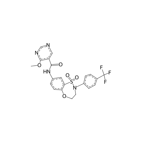 COc1ncncc1C(=O)Nc1ccc2c(c1)S(=O)(=O)N(c1ccc(C(F)(F)F)cc1)CCO2